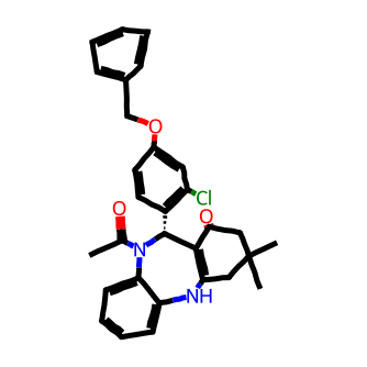 CC(=O)N1c2ccccc2NC2=C(C(=O)CC(C)(C)C2)[C@H]1c1ccc(OCc2ccccc2)cc1Cl